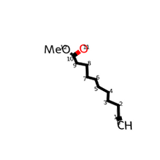 C#CCCCCCCCCC(=O)OC